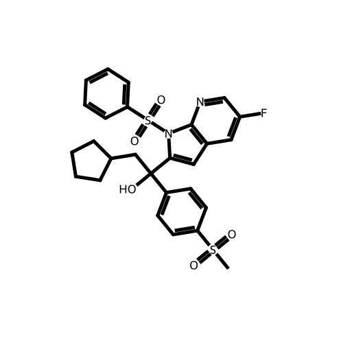 CS(=O)(=O)c1ccc(C(O)(CC2CCCC2)c2cc3cc(F)cnc3n2S(=O)(=O)c2ccccc2)cc1